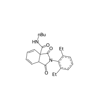 CCCCNC(=O)C12C=CC=CC1C(=O)N(c1c(CC)cccc1CC)C2=O